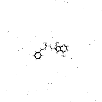 CC(C)n1c(CCC(=O)OCc2ccccc2)cc2c(Cl)ncnc21